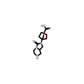 O=C1N2CCNCC2CN1C12CCC(C(=O)O)(CC1)CC2